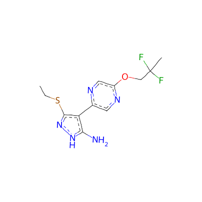 CCSc1n[nH]c(N)c1-c1cnc(OCC(C)(F)F)cn1